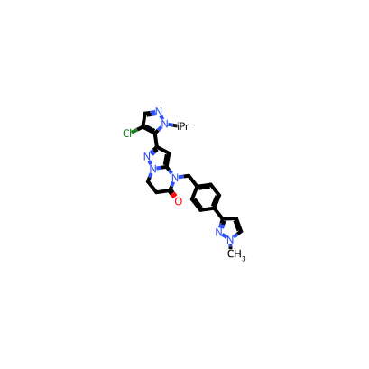 CC(C)n1ncc(Cl)c1-c1cc2n(n1)CCC(=O)N2Cc1ccc(-c2ccn(C)n2)cc1